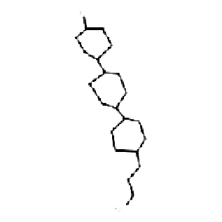 CCCC1CCC(C2CCC(C3CCC(CCCC#N)CC3)CC2)CC1